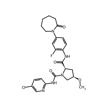 CO[C@@H]1C[C@H](C(=O)Nc2ccc(N3CCCCCC3=O)cc2F)N(C(=O)Nc2ccc(Cl)cn2)C1